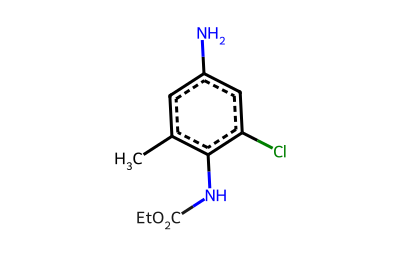 CCOC(=O)Nc1c(C)cc(N)cc1Cl